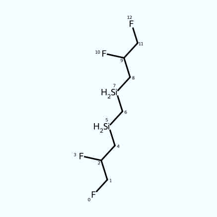 FCC(F)C[SiH2]C[SiH2]CC(F)CF